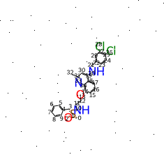 C=S(=O)(Cc1ccccc1)NCCOc1cccc2c(NCc3ccc(Cl)c(Cl)c3)cc(C)nc12